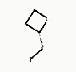 IC[C@@H]1CCO1